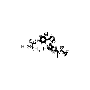 CN(C)C(=O)COc1ccc(-c2cncn2-c2n[nH]c3nc(NC(=O)C4CC4)sc23)c(Cl)c1